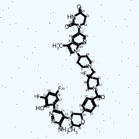 Cc1cn(C2CCN(CC3(F)CCN(C(=O)c4ccc([C@@H]5CN(c6cc(-c7cc(F)cc(F)c7O)nnc6N)[C@H](C)CO5)cc4)CC3)CC2)c2ncc(N3CCC(=O)NC3=O)cc12